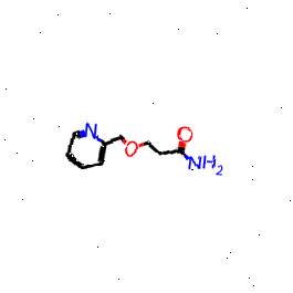 NC(=O)CCOCc1ccccn1